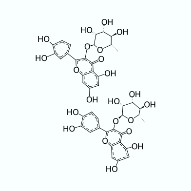 C[C@@H]1O[C@@H](Oc2c(-c3ccc(O)c(O)c3)oc3cc(O)cc(O)c3c2=O)[C@H](O)[C@H](O)[C@H]1O.C[C@@H]1O[C@@H](Oc2c(-c3ccc(O)c(O)c3)oc3cc(O)cc(O)c3c2=O)[C@H](O)[C@H](O)[C@H]1O